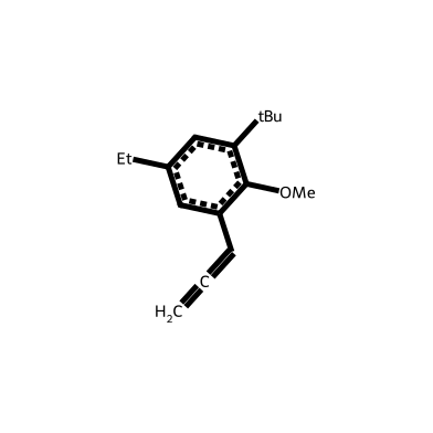 C=C=Cc1cc(CC)cc(C(C)(C)C)c1OC